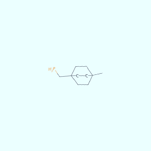 CC12CCC(CP)(CC1)CC2